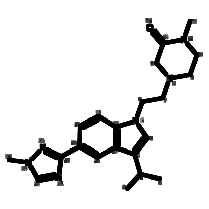 CC(C)c1cn(CCN2CCN(C)C(=O)C2)c2ccc(-c3ncn(C)n3)cc12